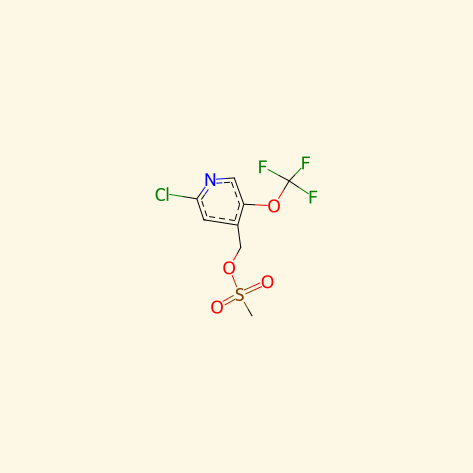 CS(=O)(=O)OCc1cc(Cl)ncc1OC(F)(F)F